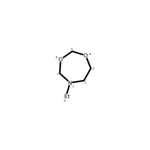 CCN1CCOCOC1